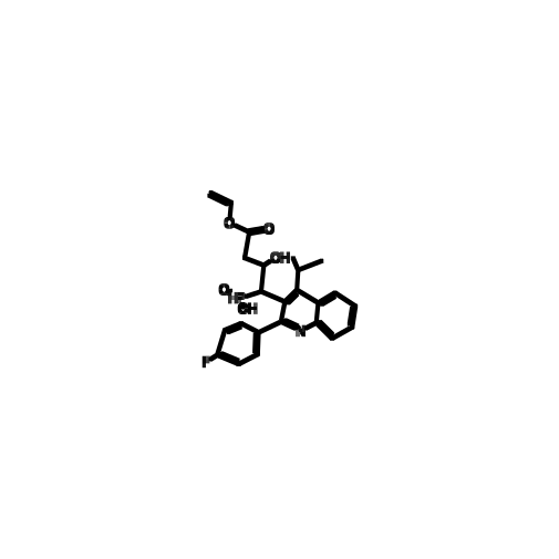 C=COC(=O)CC(O)C(c1c(-c2ccc(F)cc2)nc2ccccc2c1C(C)C)[PH](=O)O